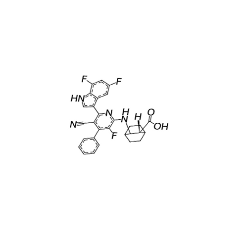 N#Cc1c(-c2c[nH]c3c(F)cc(F)cc23)nc(NC2C3CCC(CC3)[C@H]2C(=O)O)c(F)c1-c1ccccc1